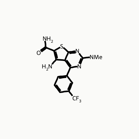 CNc1nc(-c2cccc(C(F)(F)F)c2)c2c(N)c(C(N)=O)sc2n1